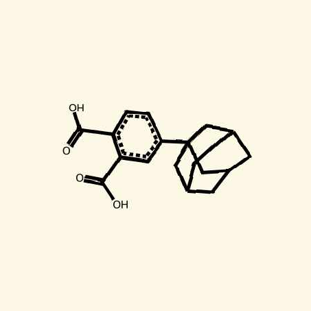 O=C(O)c1ccc(C23CC4CC(CC(C4)C2)C3)cc1C(=O)O